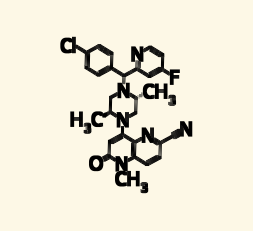 C[C@@H]1CN(c2cc(=O)n(C)c3ccc(C#N)nc23)[C@@H](C)CN1C(c1ccc(Cl)cc1)c1cc(F)ccn1